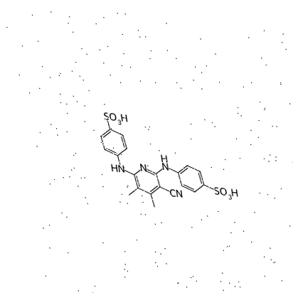 Cc1c(Nc2ccc(S(=O)(=O)O)cc2)nc(Nc2ccc(S(=O)(=O)O)cc2)c(C#N)c1C